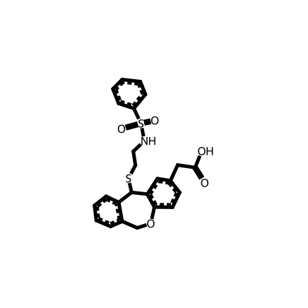 O=C(O)Cc1ccc2c(c1)C(SCCNS(=O)(=O)c1ccccc1)c1ccccc1CO2